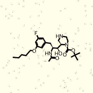 CCCCCOc1cc(F)cc(C[C@H](NC(C)=O)[C@H](O)[C@H]2CNCCN2C(=O)OC(C)(C)C)c1